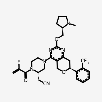 C=C(F)C(=O)N1CCN(c2nc(OC[C@H]3CCCN3C)nc3c2CO[C@H](c2ccccc2C(F)(F)F)C3)C[C@@H]1CC#N